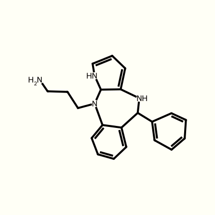 NCCCN1c2ccccc2C(c2ccccc2)NC2=CC=CNC21